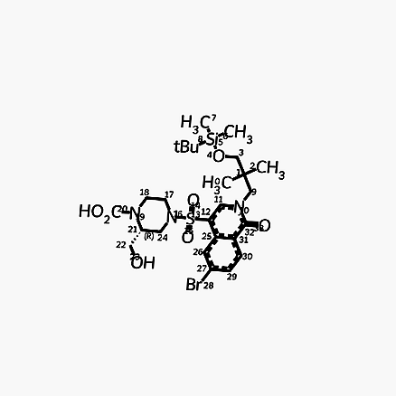 CC(C)(CO[Si](C)(C)C(C)(C)C)Cn1cc(S(=O)(=O)N2CCN(C(=O)O)[C@@H](CO)C2)c2cc(Br)ccc2c1=O